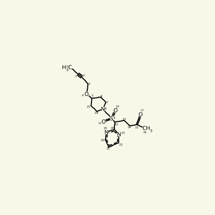 CC#CCOC1CCN(S(=O)(=O)C(CCC(C)=O)c2ncccn2)CC1